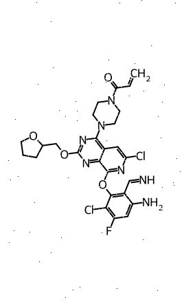 C=CC(=O)N1CCN(c2nc(OCC3CCCO3)nc3c(Oc4c(Cl)c(F)cc(N)c4C=N)nc(Cl)cc23)CC1